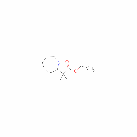 CCOC(=O)C1(C2CCCCCN2)CC1